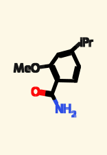 COc1cc(C(C)C)ccc1C(N)=O